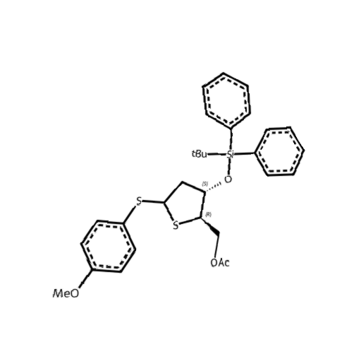 COc1ccc(SC2C[C@H](O[Si](c3ccccc3)(c3ccccc3)C(C)(C)C)[C@@H](COC(C)=O)S2)cc1